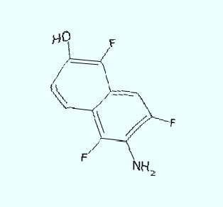 Nc1c(F)cc2c(F)c(O)ccc2c1F